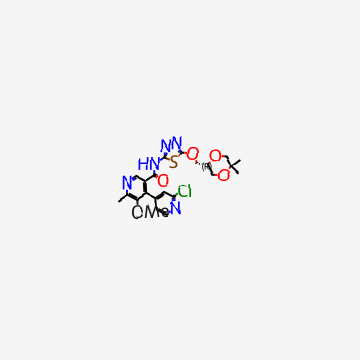 COc1c(C)ncc(C(=O)Nc2nnc(OC[C@H]3COC(C)(C)CO3)s2)c1-c1ccnc(Cl)c1